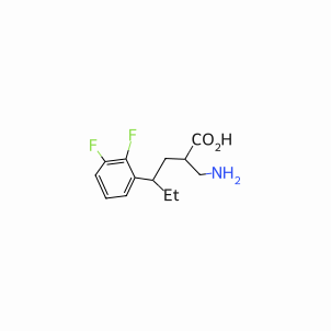 CCC(CC(CN)C(=O)O)c1cccc(F)c1F